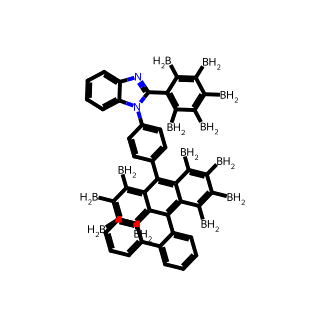 Bc1c(B)c(B)c(-c2nc3ccccc3n2-c2ccc(-c3c4c(B)c(B)c(B)c(B)c4c(-c4ccccc4-c4ccccc4)c4c(B)c(B)c(B)c(B)c34)cc2)c(B)c1B